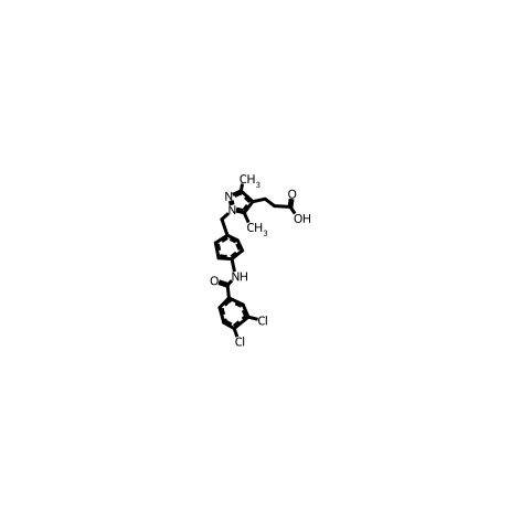 Cc1nn(Cc2ccc(NC(=O)c3ccc(Cl)c(Cl)c3)cc2)c(C)c1CCC(=O)O